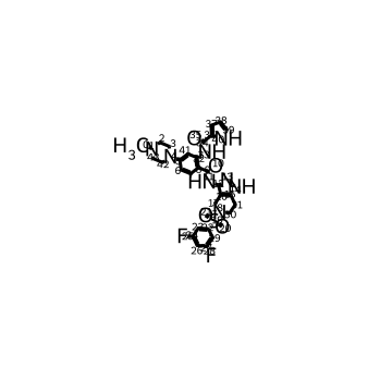 CN1CCN(c2ccc(C(=O)Nc3n[nH]c4c3CN(S(=O)(=O)c3cc(F)cc(F)c3)CC4)c(NC(=O)c3ccc[nH]3)c2)CC1